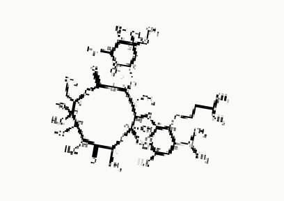 CC[C@H]1OC(=O)[C@H](C)[C@@H](O[C@H]2C[C@@](C)(OC)[C@@H](O)[C@H](C)O2)[C@H](C)[C@@H](O[C@@H]2O[C@H](C)C[C@H](N(C)C)[C@H]2OCCC(C)N)[C@@](C)(OC)C[C@@H](C)C(=O)[C@H](C)[C@@H](O)[C@]1(C)O